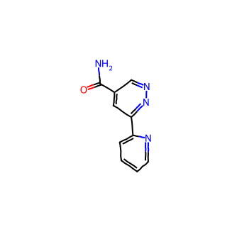 NC(=O)c1cnnc(-c2ccccn2)c1